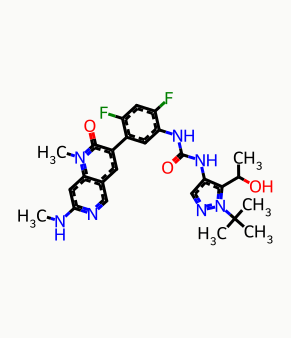 CNc1cc2c(cn1)cc(-c1cc(NC(=O)Nc3cnn(C(C)(C)C)c3C(C)O)c(F)cc1F)c(=O)n2C